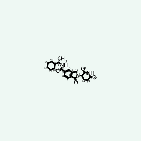 C[C@@H](NC(=O)c1ccc2c(c1)CN(C1CCC(=O)NC1=O)C2=O)C1CCCCC1